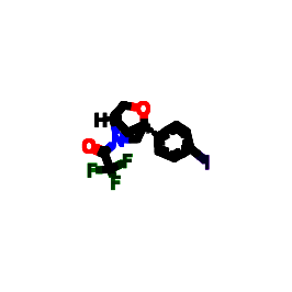 O=C(N1C[C@@]2(c3ccc(I)cc3)C[C@@H]1CO2)C(F)(F)F